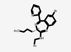 CC(=O)CNC1=Nc2ccc(Br)cc2C(c2ccccn2)=N[C@H]1CCCOC(C)=O